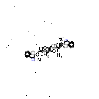 CC(C)(COC(=O)/C(C#N)=C\c1ccccc1)C1OCC2(CO1)COC(C(C)(C)COC(=O)/C(C#N)=C\c1ccccc1)OC2